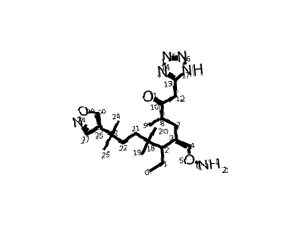 CCC(/C(=C\ON)CC(C)C(=O)Cc1nnn[nH]1)C(C)(C)CCC(C)(C)c1cnoc1